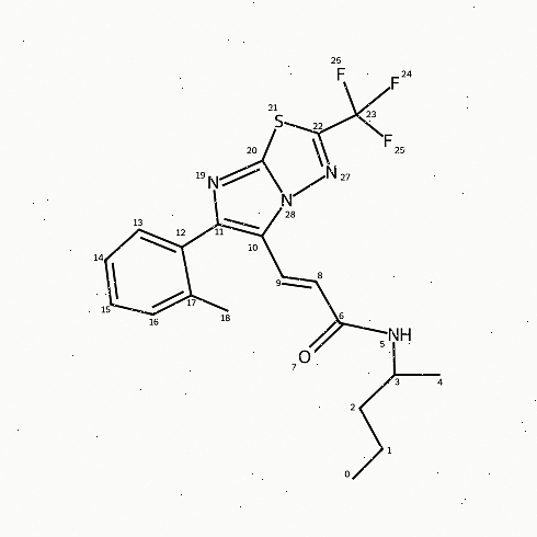 CCCC(C)NC(=O)/C=C/c1c(-c2ccccc2C)nc2sc(C(F)(F)F)nn12